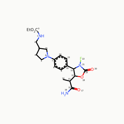 CCOC(=O)NCC1CCN(c2ccc(C3C(C(C)C(N)=O)OC(=O)N3F)cc2)C1